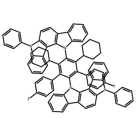 Fc1ccc(-c2c(C3CCCCC3)c(-n3c4ccccc4c4ccc5c(c6ccccc6n5-c5ccccc5)c43)c(C3CCCCC3)c(-c3ccc(F)cc3)c2-n2c3ccccc3c3ccc4c(c5ccccc5n4-c4ccccc4)c32)cc1